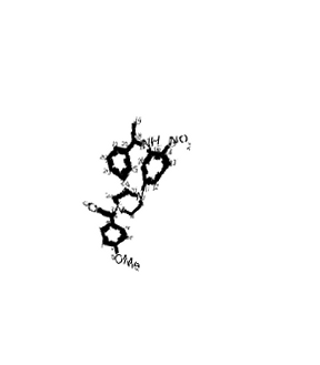 COc1ccc(C(=O)N2CCN(c3ccc([N+](=O)[O-])c(NC(C)c4ccccc4)c3)CC2)cc1